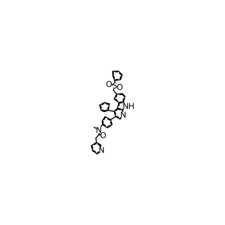 CN(C(=O)Cc1cccnc1)c1ccc(-c2cnc3[nH]c4ccc(CS(=O)(=O)c5ccccc5)cc4c3c2-c2ccccc2)cc1